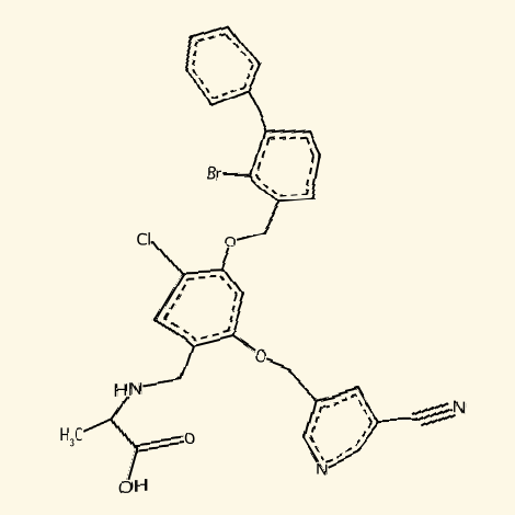 CC(NCc1cc(Cl)c(OCc2cccc(-c3ccccc3)c2Br)cc1OCc1cncc(C#N)c1)C(=O)O